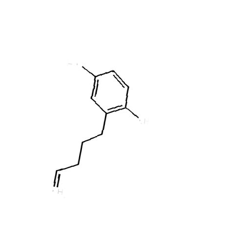 C=CCCCc1cc(C)ccc1C